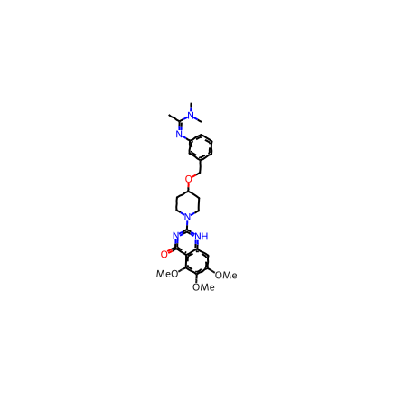 COc1cc2[nH]c(N3CCC(OCc4cccc(N=C(C)N(C)C)c4)CC3)nc(=O)c2c(OC)c1OC